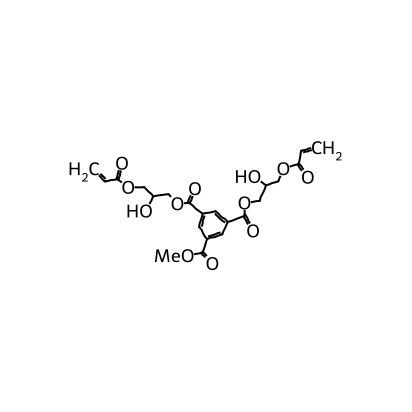 C=CC(=O)OCC(O)COC(=O)c1cc(C(=O)OC)cc(C(=O)OCC(O)COC(=O)C=C)c1